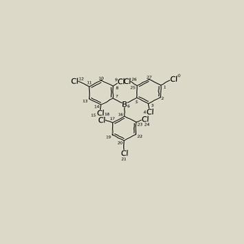 Clc1cc(Cl)c(B(c2c(Cl)cc(Cl)cc2Cl)c2c(Cl)cc(Cl)cc2Cl)c(Cl)c1